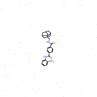 Nc1ccccc1NC(=O)c1ccc(C(=O)NCC23CC4CC(CC(C4)C2)C3)cc1